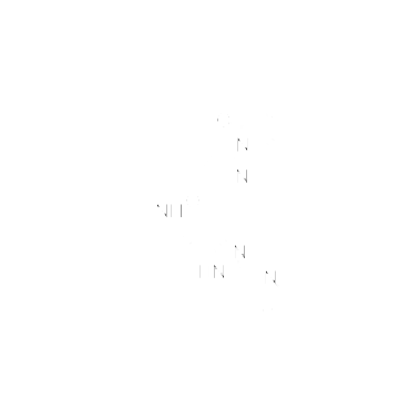 O=c1ccccn1-c1ccc(Oc2cc3nc(-c4ccccn4)[nH]c3cc2C2CCCN2)cn1